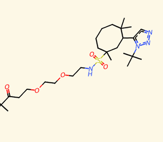 CC(C)(C)C(=O)CCOCCOCCNS(=O)(=O)C1(C)CCCCC(C)(C)C(c2cnnn2C(C)(C)C)C1